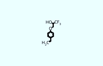 C=Cc1ccc(OCC(O)C(F)(F)F)cc1